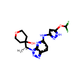 C[C@@H](n1nnc2ccc(Nc3cc(OC(F)F)[nH]n3)nc21)C1(O)CCOCC1